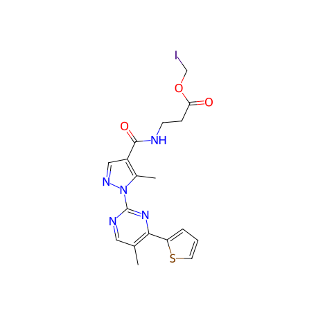 Cc1cnc(-n2ncc(C(=O)NCCC(=O)OCI)c2C)nc1-c1cccs1